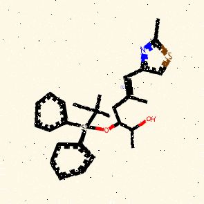 C/C(=C\c1csc(C)n1)CC(O[Si](c1ccccc1)(c1ccccc1)C(C)(C)C)C(C)O